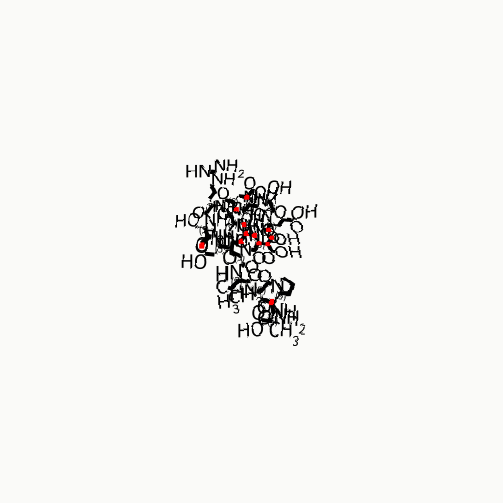 CC(C)[C@H](NC(=O)[C@@H]1CCCN1C(=O)[C@H](CC(=O)O)NC(=O)CNC(=O)[C@H](CC(=O)O)NC(=O)[C@H](CO)NC(=O)[C@H](CCCNC(=N)N)NC(=O)[C@H](CCC(=O)O)NC(=O)[C@H](C)NC(=O)[C@H](CCC(=O)O)NC(=O)[C@H](CCC(=O)O)NC(=O)[C@H](CO)NC(=O)[C@@H](N)[C@@H](C)O)C(=O)N[C@@H](CCC(N)=O)C(=O)N1CCC[C@H]1C(=O)N[C@@H](C)C(=O)O